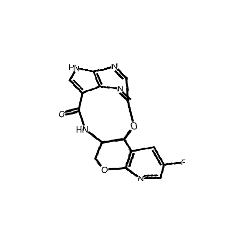 O=C1NC2COc3ncc(F)cc3C2Oc2cnc3[nH]cc1c3n2